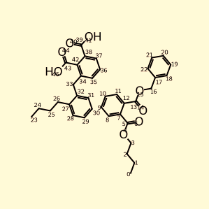 CCCCOC(=O)c1ccccc1C(=O)OCc1ccccc1.CCCCc1ccccc1Cc1cccc(C(=O)O)c1C(=O)O